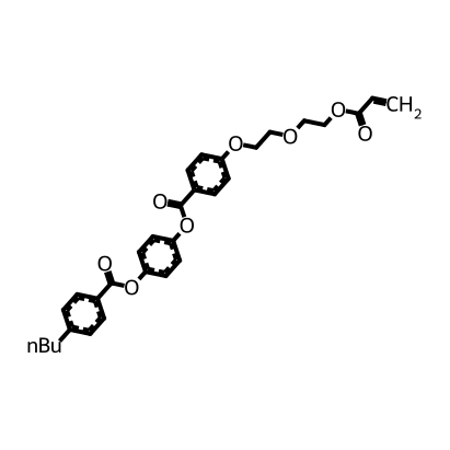 C=CC(=O)OCCOCCOc1ccc(C(=O)Oc2ccc(OC(=O)c3ccc(CCCC)cc3)cc2)cc1